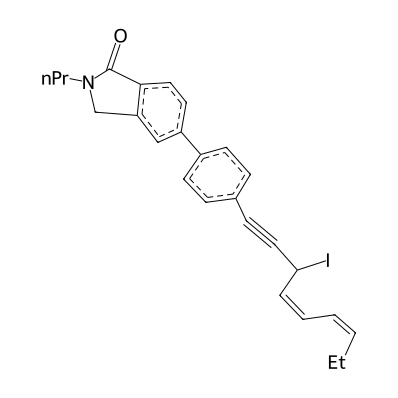 CC/C=C\C=C/C(I)C#Cc1ccc(-c2ccc3c(c2)CN(CCC)C3=O)cc1